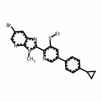 CCSc1cc(-c2ccc(C3CC3)cc2)cnc1-c1nc2cc(Br)cnc2n1C